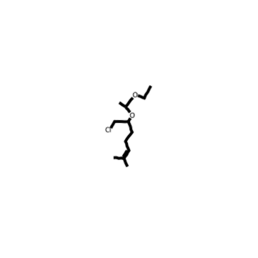 CCOC(C)OC(CCl)CCC=C(C)C